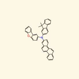 CC1(C)c2ccccc2-c2ccc(N(c3ccc4c(ccc5c6ccccc6ccc45)c3)c3ccc4oc5ccccc5c4c3)cc21